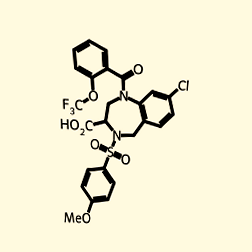 COc1ccc(S(=O)(=O)N2Cc3ccc(Cl)cc3N(C(=O)c3ccccc3OC(F)(F)F)CC2C(=O)O)cc1